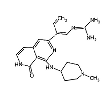 C=C/C(=C\N=C(N)N)c1cc2cc[nH]c(=O)c2c(NC2CCN(C)CC2)n1